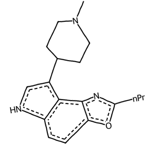 CCCc1nc2c(ccc3[nH]cc(C4CCN(C)CC4)c32)o1